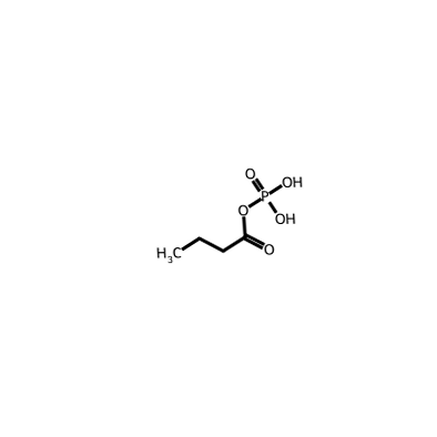 CCCC(=O)OP(=O)(O)O